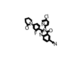 N#Cc1ccc2nc(-c3ccc(N4CCCCC4=O)cc3F)n(-c3ccc(Cl)cn3)c(=O)c2c1